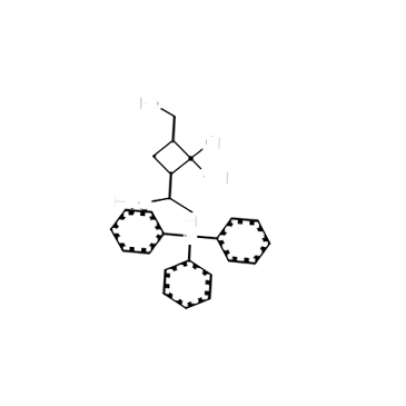 CC(C[PH](c1ccccc1)(c1ccccc1)c1ccccc1)C1CC(CO)C1(C)C